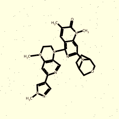 Cc1cc2c(N3CCN(C)c4cc(-c5cnn(C)c5)ncc43)nc(N3C4CCC3COC4)cc2n(C)c1=O